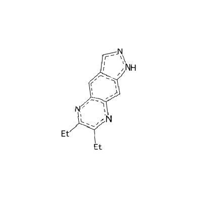 CCc1nc2cc3cn[nH]c3cc2nc1CC